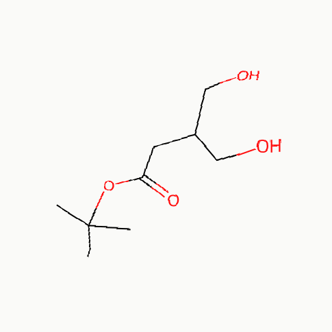 CC(C)(C)OC(=O)CC(CO)CO